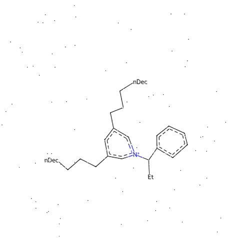 CCCCCCCCCCCCCc1cc(CCCCCCCCCCCCC)c[n+](C(CC)c2ccccc2)c1